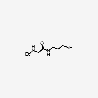 CCNCC(=O)NCCCS